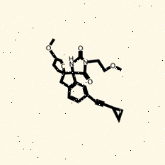 COCCN1C(=O)NC2(C1=O)c1cc(C#CC3CC3)ccc1CC21CCC(OC)CC1